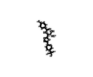 Cl.O=C(N[C@@H](CO)c1nc(-c2ccc(C(F)(F)F)cn2)no1)c1ccc(F)cc1